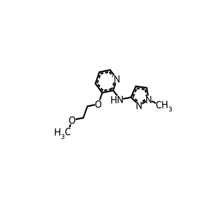 COCCOc1cccnc1Nc1ccn(C)n1